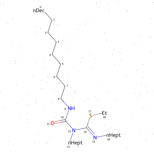 CCCCCCCCCCCCCCCCCCNC(=O)N(CCCCCCC)C(=NCCCCCCC)SCC